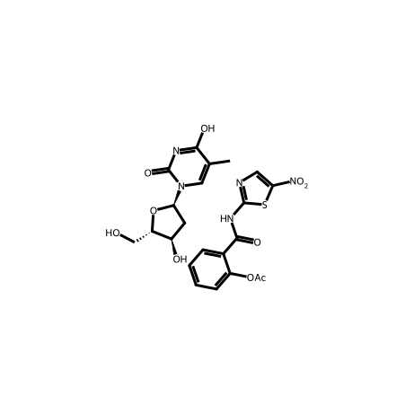 CC(=O)Oc1ccccc1C(=O)Nc1ncc([N+](=O)[O-])s1.Cc1cn([C@H]2C[C@@H](O)[C@H](CO)O2)c(=O)nc1O